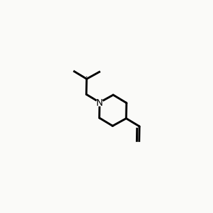 C=CC1CCN(C[C](C)C)CC1